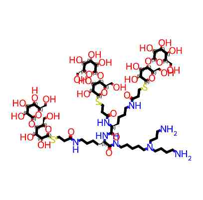 NCCCCN(CCCN)CCCCCNC(=O)[C@H](CCCCNC(=O)CCS[C@@H]1O[C@H](CO)[C@@H](O[C@@H]2O[C@H](CO)[C@H](O)[C@H](O)[C@H]2O)[C@H](O)[C@H]1O)NC(=O)[C@H](CCCCNC(=O)CCS[C@@H]1O[C@H](CO)[C@@H](O[C@@H]2O[C@H](CO)[C@H](O)[C@H](O)[C@H]2O)[C@H](O)[C@H]1O)NC(=O)CCS[C@@H]1O[C@H](CO)[C@@H](O[C@@H]2O[C@H](CO)[C@H](O)[C@H](O)[C@H]2O)[C@H](O)[C@H]1O